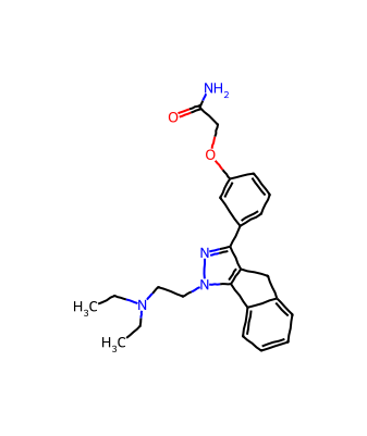 CCN(CC)CCn1nc(-c2cccc(OCC(N)=O)c2)c2c1-c1ccccc1C2